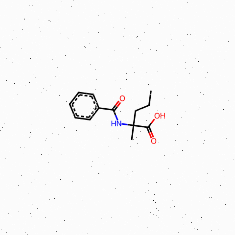 CCCC(C)(NC(=O)c1ccccc1)C(=O)O